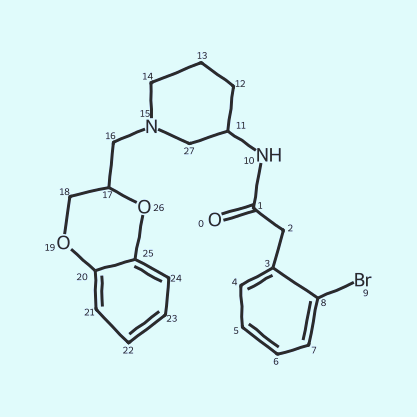 O=C(Cc1ccccc1Br)NC1CCCN(CC2COc3ccccc3O2)C1